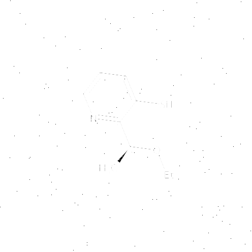 CCO[C@@H](C)c1ncccc1S